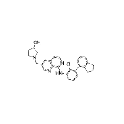 OC1CCN(Cc2cnc3c(Nc4cccc(-c5cccc6c5CCC6)c4Cl)nccc3c2)C1